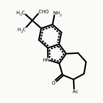 CC(=O)C1CCCc2c([nH]c3cc(C(C)(C)C=O)c(N)cc23)C1=O